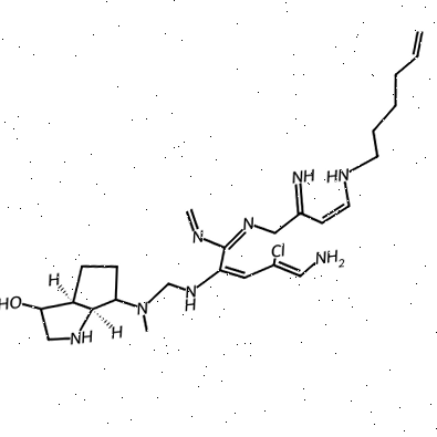 C=CCCCCN/C=C\C(=N)C\N=C(N=C)/C(=C\C(Cl)=C\N)NCN(C)C1CC[C@@H]2C(O)CN[C@H]12